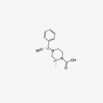 C[C@@H]1CN([C@H](C#N)c2ccccc2)CCN1C(=O)O